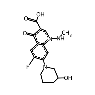 CNn1cc(C(=O)O)c(=O)c2cc(F)c(N3CCCC(O)C3)cc21